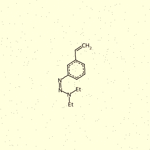 C=Cc1cccc(/N=N\N(CC)CC)c1